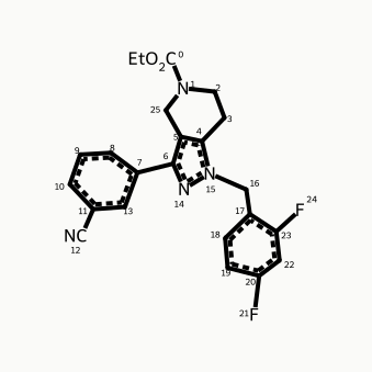 CCOC(=O)N1CCc2c(c(-c3cccc(C#N)c3)nn2Cc2ccc(F)cc2F)C1